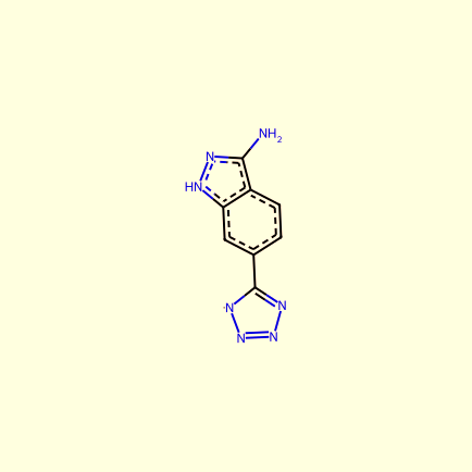 Nc1n[nH]c2cc(C3=NN=N[N]3)ccc12